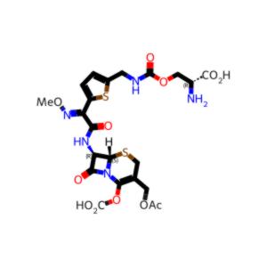 CON=C(C(=O)N[C@@H]1C(=O)N2C(OC(=O)O)=C(COC(C)=O)CS[C@@H]12)c1ccc(CNC(=O)OC[C@@H](N)C(=O)O)s1